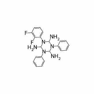 NC1N(c2ccccc2)C(N)N(c2cccc(F)c2F)C(N)N1c1ccccc1